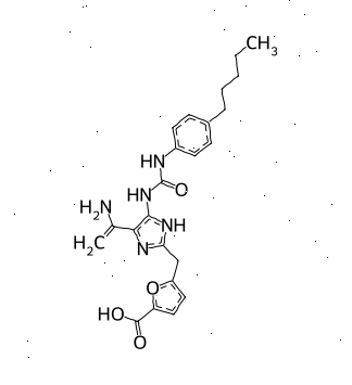 C=C(N)c1nc(Cc2ccc(C(=O)O)o2)[nH]c1NC(=O)Nc1ccc(CCCCC)cc1